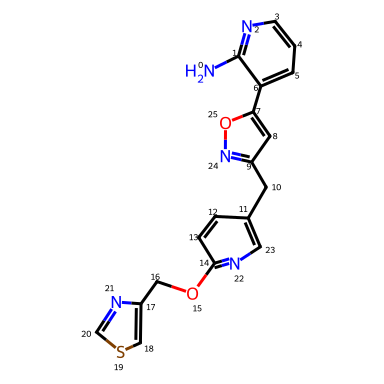 Nc1ncccc1-c1cc(Cc2ccc(OCc3cscn3)nc2)no1